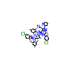 Cc1cc(C)c(Nc2nc(N(c3nc4cc(Cl)ccc4s3)c3c(C)cc(C)cc3C)cc(C)c2/N=N/c2c(C#N)c(-c3ccccn3)nn2-c2nc3cc(Cl)ccc3s2)c(C)c1